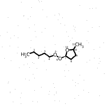 CCCCCOO[C@@H]1CCC(C)O1